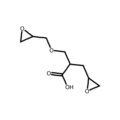 O=C(O)C(COCC1CO1)CC1CO1